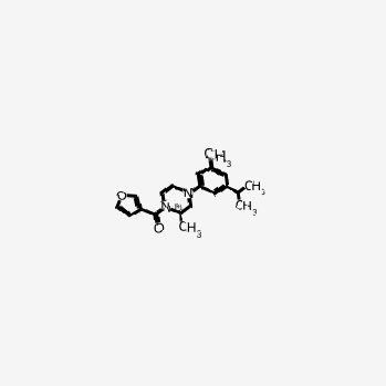 Cc1cc(C(C)C)[c]c(N2CCN(C(=O)c3ccoc3)[C@H](C)C2)c1